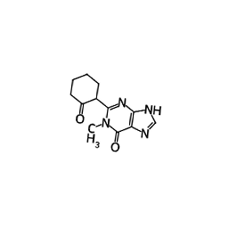 Cn1c(C2CCCCC2=O)nc2[nH]cnc2c1=O